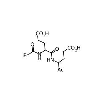 CC(=O)C(CCC(=O)O)NC(=O)C(CCC(=O)O)NC(=O)C(C)C